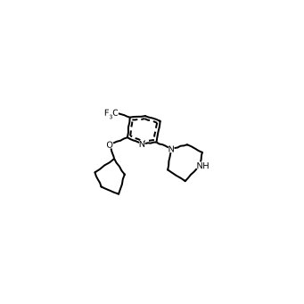 FC(F)(F)c1ccc(N2CCNCC2)nc1OC1CCCC1